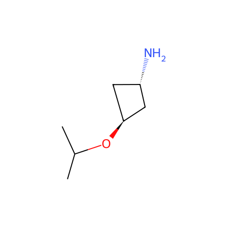 CC(C)O[C@H]1C[C@H](N)C1